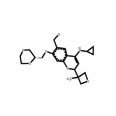 CC1(C2C=C(NC3CC3)c3cc(CCl)c(OC[C@H]4COCCO4)cc3O2)COC1